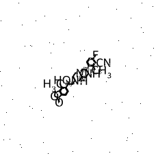 Cc1c([C@@H]2CN3CCN(C[C@H](O)c4ccc5c(c4C)COC5=O)C[C@H]3CN2)ccc(F)c1C#N